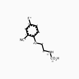 N#Cc1cc(F)ccc1OCCNC(=O)O